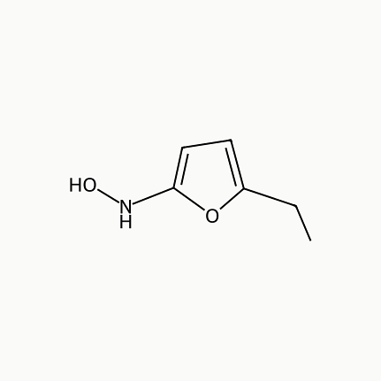 CCc1ccc(NO)o1